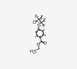 CCOC(=O)c1ccc(SC(F)(F)C(F)(F)Cl)cc1